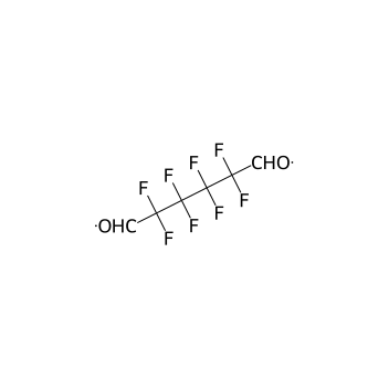 O=[C]C(F)(F)C(F)(F)C(F)(F)C(F)(F)[C]=O